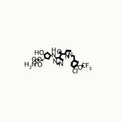 NS(=O)(=O)OC[C@H]1C[C@@H](Nc2ncncc2C(=O)c2ccn(Cc3ccc(Cl)c(OC(F)(F)F)c3)n2)C[C@@H]1O